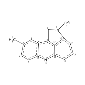 CCCN1Cc2c3cc(C)ccc3nc3cccc1c23